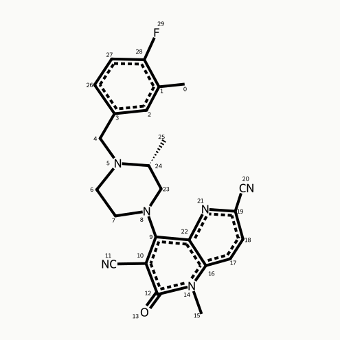 Cc1cc(CN2CCN(c3c(C#N)c(=O)n(C)c4ccc(C#N)nc34)C[C@H]2C)ccc1F